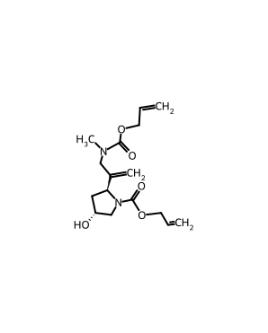 C=CCOC(=O)N(C)CC(=C)[C@@H]1C[C@@H](O)CN1C(=O)OCC=C